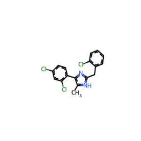 Cc1[nH]c(Cc2ccccc2Cl)nc1-c1ccc(Cl)cc1Cl